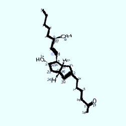 CCCCC[C@@H](O)/C=C/[C@H]1[C@@H]2CC(CCCCC(C)=O)=C[C@@H]2C[C@@H]1O